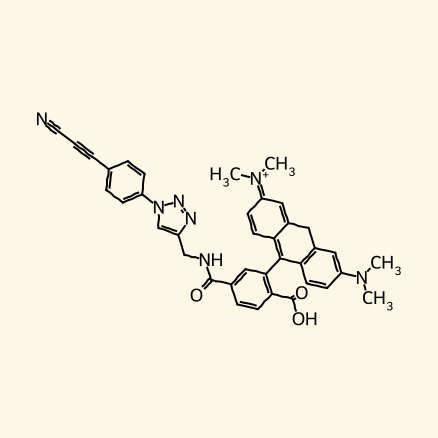 CN(C)c1ccc2c(c1)CC1=CC(=[N+](C)C)C=CC1=C2c1cc(C(=O)NCc2cn(-c3ccc(C#CC#N)cc3)nn2)ccc1C(=O)O